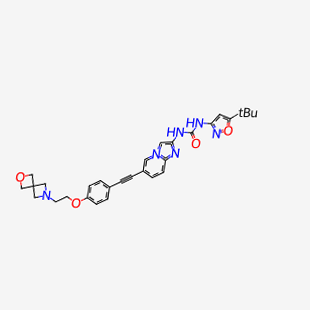 CC(C)(C)c1cc(NC(=O)Nc2cn3cc(C#Cc4ccc(OCCN5CC6(COC6)C5)cc4)ccc3n2)no1